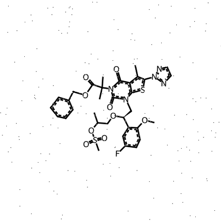 COc1ccc(F)cc1[C@H](Cn1c(=O)n(C(C)(C)C(=O)OCc2ccccc2)c(=O)c2c(C)c(-n3nccn3)sc21)OCC(C)OS(C)(=O)=O